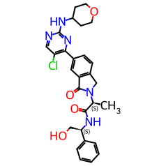 C[C@@H](C(=O)N[C@H](CO)c1ccccc1)N1Cc2ccc(-c3nc(NC4CCOCC4)ncc3Cl)cc2C1=O